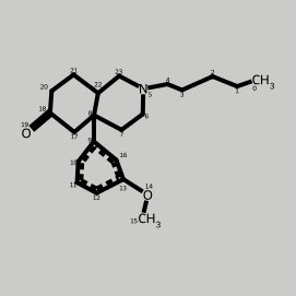 CCCCCN1CCC2(c3cccc(OC)c3)CC(=O)CCC2C1